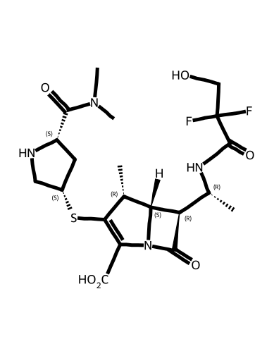 C[C@@H](NC(=O)C(F)(F)CO)[C@H]1C(=O)N2C(C(=O)O)=C(S[C@@H]3CN[C@H](C(=O)N(C)C)C3)[C@H](C)[C@H]12